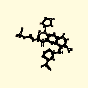 C=C(C)c1cccc(Nc2c(C#N)cnc3cc(O[C@H]4CCOC4)c(NC(=O)/C=C/CN(C)C)cc23)c1